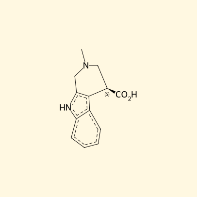 CN1Cc2[nH]c3ccccc3c2[C@H](C(=O)O)C1